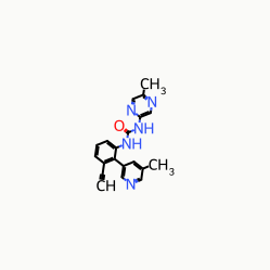 C#Cc1cccc(NC(=O)Nc2cnc(C)cn2)c1-c1cncc(C)c1